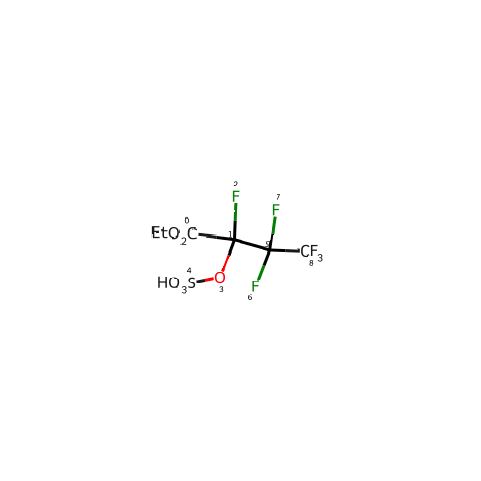 CCOC(=O)C(F)(OS(=O)(=O)O)C(F)(F)C(F)(F)F